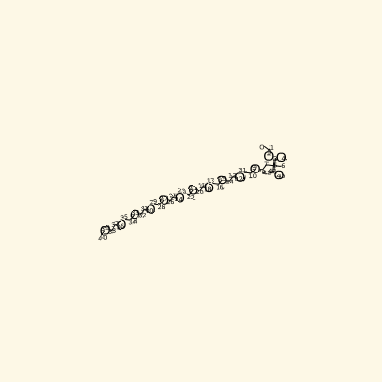 CCOC(=O)C(C)(CCOCCOCCOCCOCCOCCOCCOCCOCCOCCOCCOC)C(C)=O